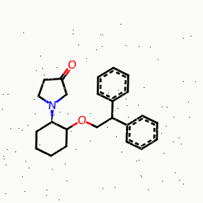 O=C1CCN([C@@H]2CCCCC2OCC(c2ccccc2)c2ccccc2)C1